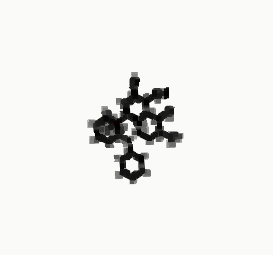 CCS(=O)(=O)c1nc(=O)c(O)c2n1[C@@H](C(c1ccccc1)c1ccccc1)CN(C(C)C)C2=O